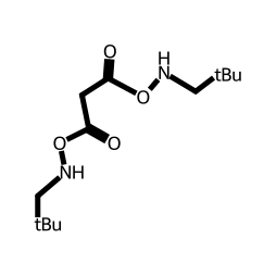 CC(C)(C)CNOC(=O)CC(=O)ONCC(C)(C)C